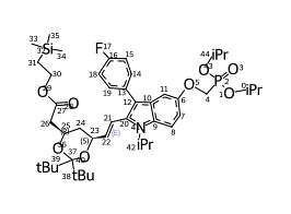 CC(C)OP(=O)(COc1ccc2c(c1)c(-c1ccc(F)cc1)c(/C=C/[C@@H]1C[C@H](CC(=O)OCC[Si](C)(C)C)OC(C(C)(C)C)(C(C)(C)C)O1)n2C(C)C)OC(C)C